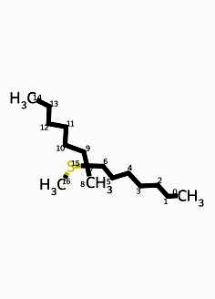 CCCCCCCC(C)(CCCCCC)SC